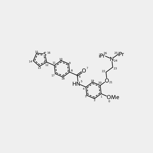 COc1ccc(NC(=O)c2ccc(-c3cccs3)cc2)cc1OCCN(C(C)C)C(C)C